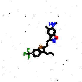 CCCc1c(CCc2noc3cc(NC)c(C)cc23)sc2cc(C(F)(F)F)ccc12